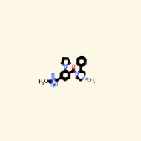 Cc1nnc(-c2ccc(C(=O)N3CCN(C)CC3c3ccccc3)c(N3CCCC3)c2)[nH]1